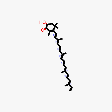 C=C/C(C)=C/C=C/C(C)=C/C=C/C=C(C)/C=C/C=C(C)/C=C/C1=C(C)C(=O)C(O)CC1(C)C